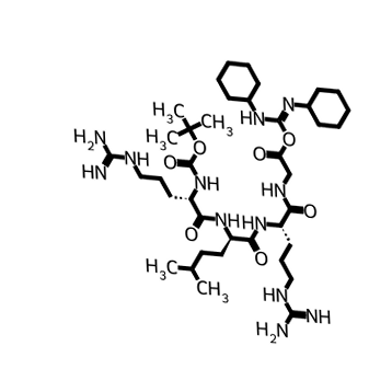 CC(C)CC[C@@H](NC(=O)[C@H](CCCNC(=N)N)NC(=O)OC(C)(C)C)C(=O)N[C@@H](CCCNC(=N)N)C(=O)NCC(=O)O/C(=N\C1CCCCC1)NC1CCCCC1